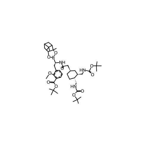 COc1c(C[C@H](NC(=O)C[C@@H]2CC[C@@H](CNC(=O)OC(C)(C)C)[C@H](CNC(=O)OC(C)(C)C)C2)B2OC3CC4CC(C4(C)C)C3(C)O2)cccc1C(=O)OC(C)(C)C